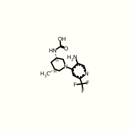 C[C@@H]1C[C@H](NC(=O)O)CN(c2cc(C(F)(F)F)ncc2N)C1